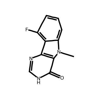 Cn1c2cccc(F)c2c2nc[nH]c(=O)c21